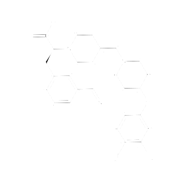 N=Cc1cccc(C[C@@H](C(=O)O)N2CCC(CN3CCC(Oc4ccc(Cl)c(Cl)c4)CC3)CC2)c1